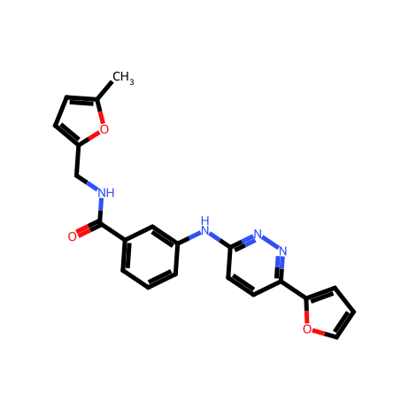 Cc1ccc(CNC(=O)c2cccc(Nc3ccc(-c4ccco4)nn3)c2)o1